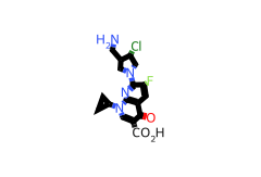 NCC1CN(c2nc3c(cc2F)c(=O)c(C(=O)O)cn3C2CC2)CC1Cl